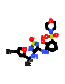 CC[C@@H](Nc1n[s+]([O-])nc1Nc1cccc(S(=O)(=O)N2CCOCC2)c1O)c1cc(C(C)C)co1